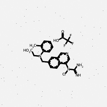 Cc1ccccc1N(CC(=O)O)Cc1ccc2c(N(Cl)C(=N)N)cncc2c1.O=C(O)C(F)(F)F